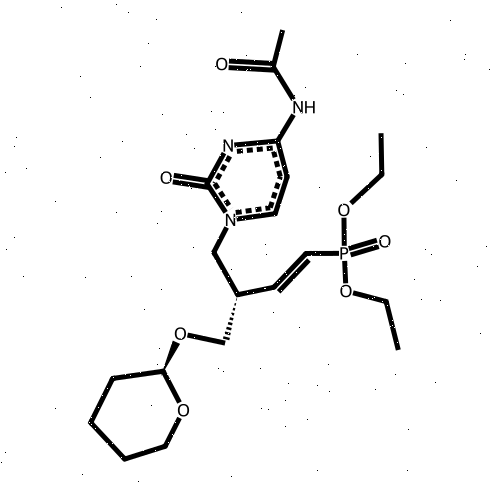 CCOP(=O)(/C=C/[C@H](CO[C@@H]1CCCCO1)Cn1ccc(NC(C)=O)nc1=O)OCC